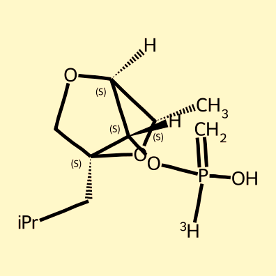 [3H]P(=C)(O)O[C@H]1[C@H]2OC[C@]1(CC(C)C)O[C@H]2C